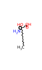 CCCCCCCCCCCCc1c(N)ccc(O)c1CCC(=O)O